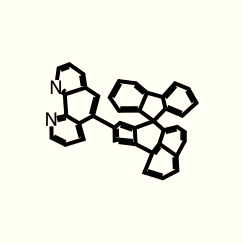 c1ccc2c(c1)-c1ccccc1C21c2cc(-c3cc4cccnc4c4ncccc34)ccc2-c2cccc3cccc1c23